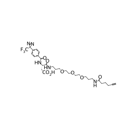 C#CCCCC(=O)NCCCOCCOCCOCCCNC(=O)[C@H](CC(=O)O)NC(=O)c1ccc(C2(C(F)(F)F)N=N2)cc1